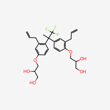 C=CCc1cc(C(C)(c2ccc(OCC(O)CO)cc2CC=C)C(F)(F)F)ccc1OCC(O)CO